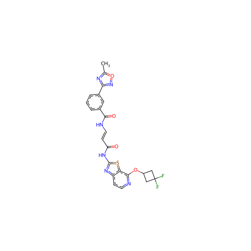 Cc1nc(-c2cccc(C(=O)NC=CC(=O)Nc3nc4ccnc(OC5CC(F)(F)C5)c4s3)c2)no1